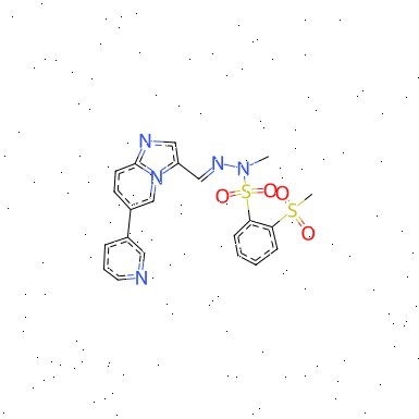 CN(/N=C/c1cnc2ccc(-c3cccnc3)cn12)S(=O)(=O)c1ccccc1S(C)(=O)=O